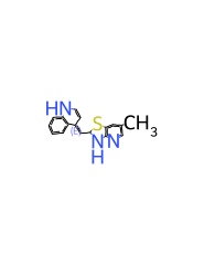 Cc1cnc2c(c1)SC(/C=C1\C=CNc3ccccc31)N2